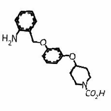 Nc1ccccc1COc1cccc(OC2CCN(C(=O)O)CC2)c1